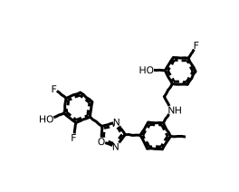 Cc1ccc(-c2noc(-c3ccc(F)c(O)c3F)n2)cc1NCc1ccc(F)cc1O